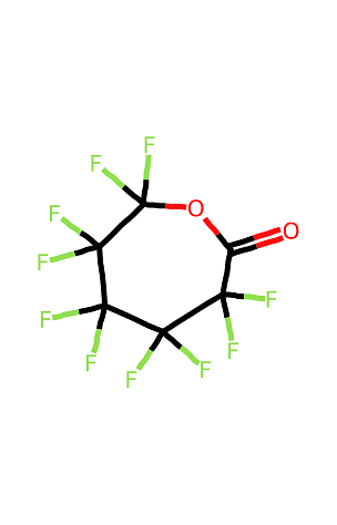 O=C1OC(F)(F)C(F)(F)C(F)(F)C(F)(F)C1(F)F